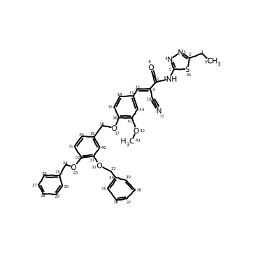 CCc1nnc(NC(=O)/C(C#N)=C/c2ccc(OCc3ccc(OCc4ccccc4)c(OCc4ccccc4)c3)c(OC)c2)s1